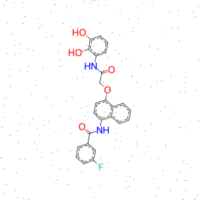 O=C(COc1ccc(NC(=O)c2cccc(F)c2)c2ccccc12)Nc1cccc(O)c1O